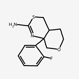 NC1=NC2(c3ccccc3F)COCCC2CS1